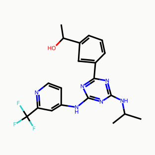 CC(C)Nc1nc(Nc2ccnc(C(F)(F)F)c2)nc(-c2cccc(C(C)O)c2)n1